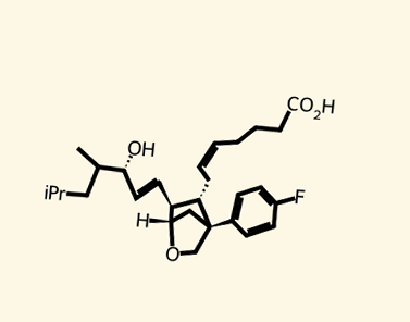 CC(C)CC(C)[C@H](O)/C=C/[C@@H]1[C@@H]2C[C@@](c3ccc(F)cc3)(CO2)[C@H]1C/C=C\CCCC(=O)O